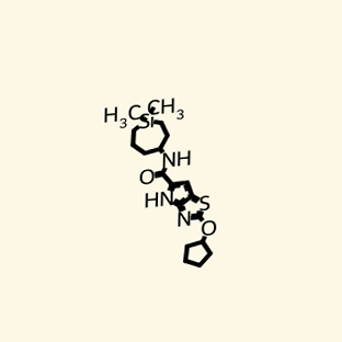 C[Si]1(C)CCCC(NC(=O)c2cc3sc(OC4CCCC4)nc3[nH]2)CC1